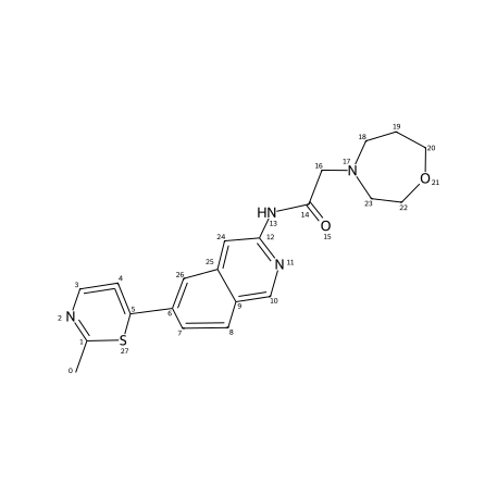 CC1=NC=C=C(c2ccc3cnc(NC(=O)CN4CCCOCC4)cc3c2)S1